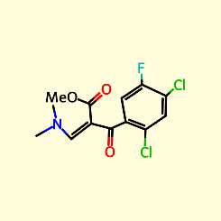 COC(=O)C(=CN(C)C)C(=O)c1cc(F)c(Cl)cc1Cl